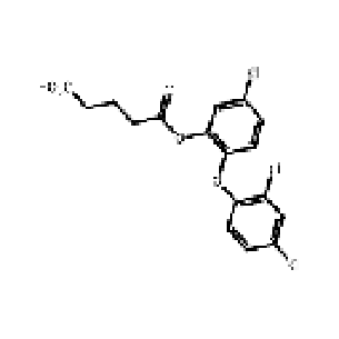 O=C(O)CCCC(=O)Oc1cc(Cl)ccc1Oc1ccc(Cl)cc1Cl